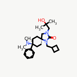 CN(C)[C@]1(c2ccccc2)CC[C@]2(CC1)CN(CC(C)(C)O)C(=O)N2CC1CCC1